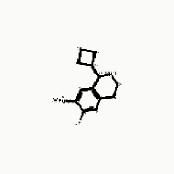 COc1cc2c(cc1F)CCNC2C1CCC1